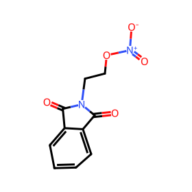 O=C1c2ccccc2C(=O)N1CCO[N+](=O)[O-]